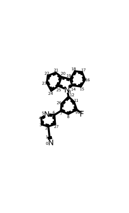 N#Cc1ccnc(-c2cc(F)cc(-n3c4ccccc4c4ccccc43)c2)c1